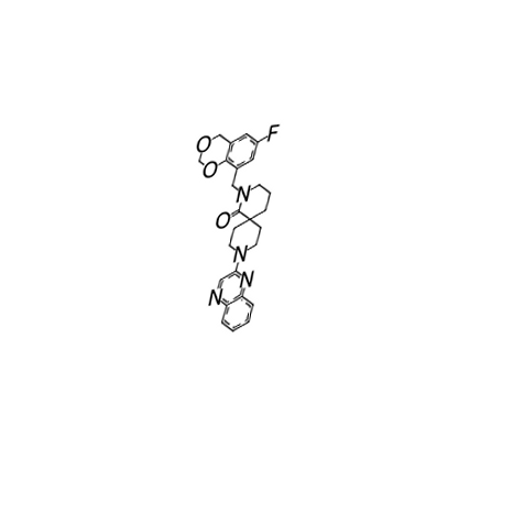 O=C1N(Cc2cc(F)cc3c2OCOC3)CCCC12CCN(c1cnc3ccccc3n1)CC2